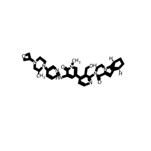 C[C@H]1CN(C2COC2)CCN1c1ccc(Nc2cc(-c3ccnc(N4CCn5c(cc6c5[C@H]5CC[C@@H]6C5)C4=O)c3CO)cn(C)c2=O)nc1